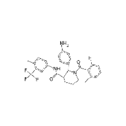 Cc1ccc(NC(=O)C2CCCN(C(=O)c3c(C)cccc3F)C2c2ccc(N)cc2)cc1C(F)(F)F